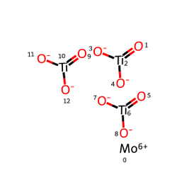 [Mo+6].[O]=[Ti]([O-])[O-].[O]=[Ti]([O-])[O-].[O]=[Ti]([O-])[O-]